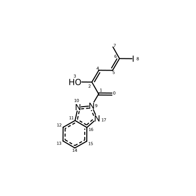 C=C(/C(O)=C\C=C(/C)I)n1nc2ccccc2n1